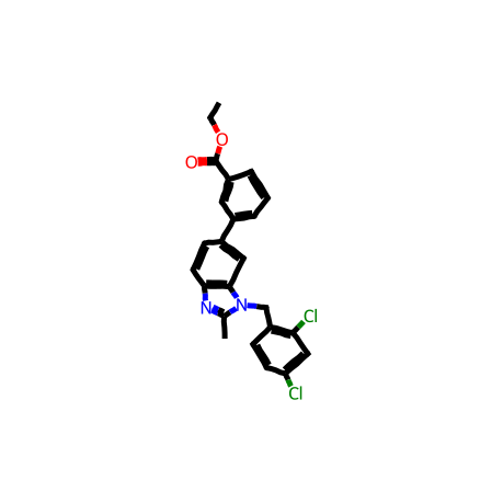 CCOC(=O)c1cccc(-c2ccc3nc(C)n(Cc4ccc(Cl)cc4Cl)c3c2)c1